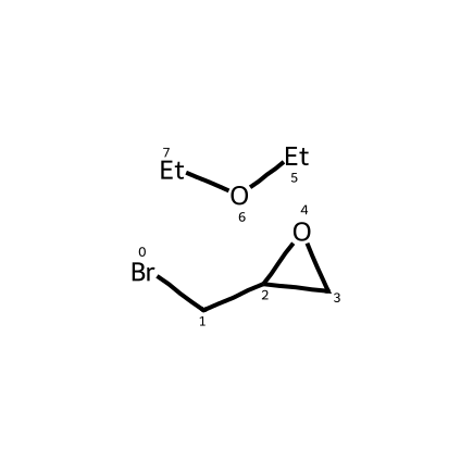 BrCC1CO1.CCOCC